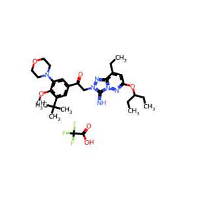 CCc1cc(OC(CC)CC)nn2c(=N)n(CC(=O)c3cc(N4CCOCC4)c(OC)c(C(C)(C)C)c3)nc12.O=C(O)C(F)(F)F